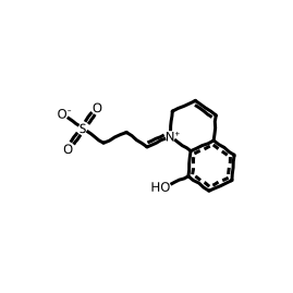 O=S(=O)([O-])CCC=[N+]1CC=Cc2cccc(O)c21